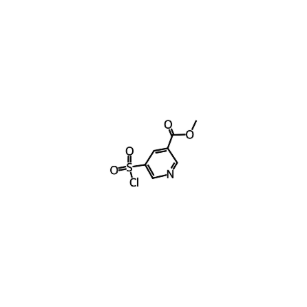 COC(=O)c1cncc(S(=O)(=O)Cl)c1